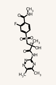 CNC(=O)c1ccc(S(=O)(=O)C[C@](C)(O)C(=O)Nc2nnc(C)c(C)n2)cc1F